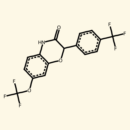 O=C1Nc2ccc(OC(F)(F)F)cc2OC1c1ccc(C(F)(F)F)cc1